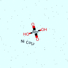 [Co].[Li].[Ni].[O]=[Mn](=[O])([OH])[OH]